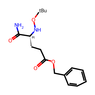 CC(C)(C)ON[C@H](CCC(=O)OCc1ccccc1)C(N)=O